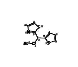 CCOC(c1cccs1)c1nccs1